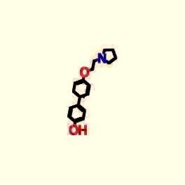 Oc1ccc([C]2C=CC(OCCN3CCCC3)=CC2)cc1